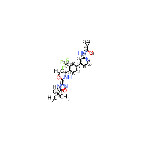 CC(NC(=O)c1noc(C(C)(C)C)n1)c1ccc(-c2ccnc(NC(=O)C3CC3)c2)cc1C(F)(F)F